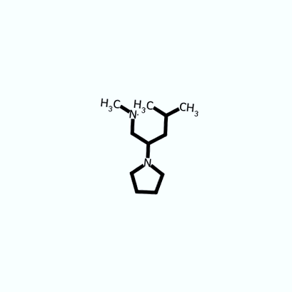 C[N]CC(CC(C)C)N1CCCC1